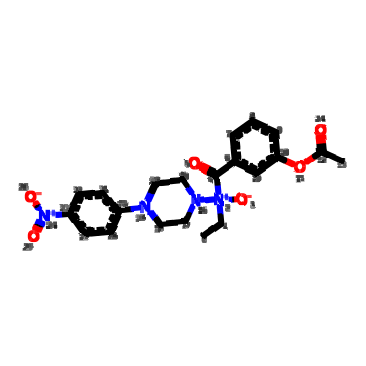 CC[N+]([O-])(C(=O)c1cccc(OC(C)=O)c1)N1CCN(c2ccc([N+](=O)[O-])cc2)CC1